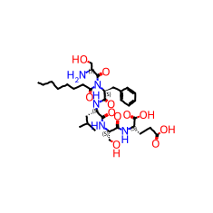 CCCCCCCC(=O)N(C(=O)[C@@H](N)CO)[C@@H](Cc1ccccc1)C(=O)N[C@@H](CC(C)C)C(=O)N[C@@H](CO)C(=O)N[C@@H](CCC(=O)O)C(=O)O